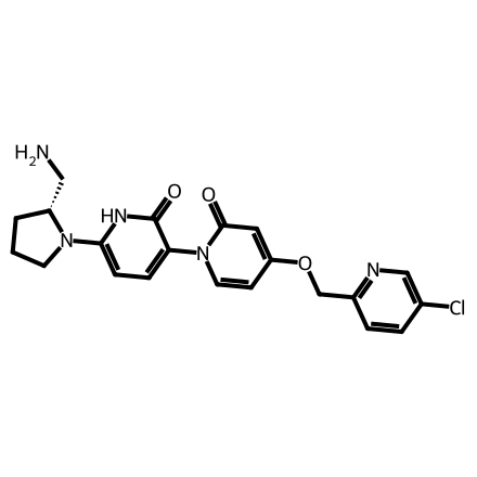 NC[C@H]1CCCN1c1ccc(-n2ccc(OCc3ccc(Cl)cn3)cc2=O)c(=O)[nH]1